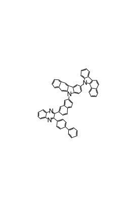 c1ccc(-c2ccc(-c3nc4ccccc4nc3-c3ccc4ccc(-n5c6ccc(-n7c8ccccc8c8ccc9ccccc9c87)cc6c6cc7ccccc7cc65)cc4c3)cc2)cc1